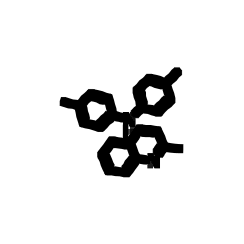 Cc1ccc(Nc2ccc(C)cc2)cc1.Cc1ccc2ccccc2n1